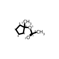 CC(=O)OC1(C)CCCC1